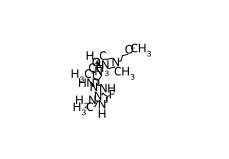 CCC1(N)N=C(Nc2n[nH]c3c2CN(C(=O)N2C[C@@H](C)N(CCCOC)C[C@@H]2C)C3(C)C)C(F)=CN1